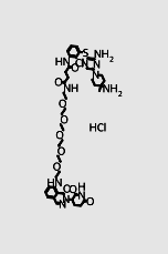 CC1(N)CCN(c2cnc(Sc3cccc(NC(=O)CCC(=O)NCCOCCOCCOCCOCCOCCNc4cccc5cnn(C6CCC(=O)NC6=O)c(=O)c45)c3Cl)c(N)n2)CC1.Cl